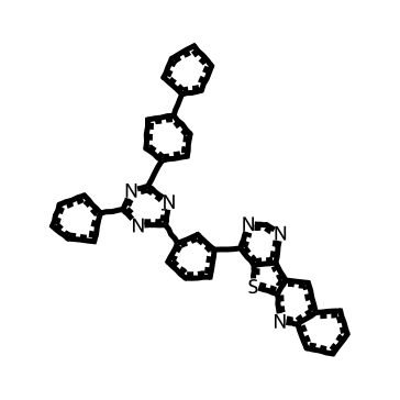 c1ccc(-c2ccc(-c3nc(-c4ccccc4)nc(-c4cccc(-c5ncnc6c5sc5nc7ccccc7cc56)c4)n3)cc2)cc1